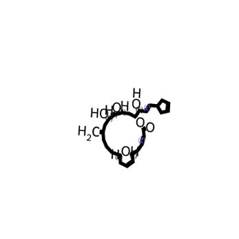 C=C1CCC[C@@H]2CC=C[C@@H](C/C=C\C(=O)OC([C@@H](O)/C=C/C3CC=CC3)C[C@@H]3O[C@H]3[C@@H](O)C1)O2